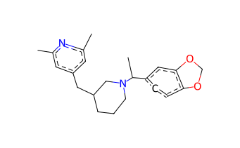 Cc1cc(CC2CCCN(C(C)c3ccc4c(c3)OCO4)C2)cc(C)n1